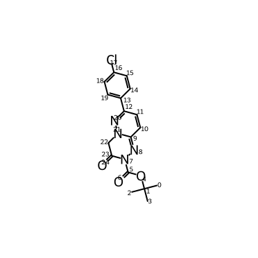 CC(C)(C)OC(=O)N1N=C2C=CC(c3ccc(Cl)cc3)=NN2CC1=O